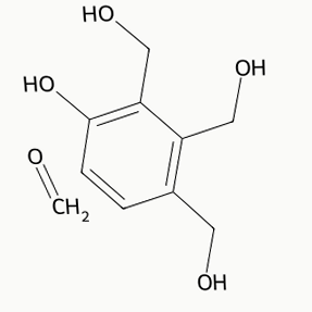 C=O.OCc1ccc(O)c(CO)c1CO